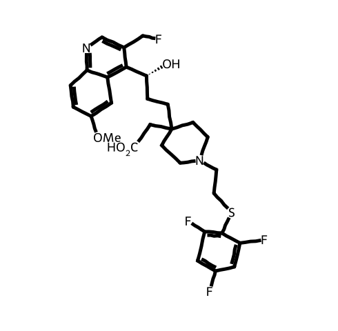 COc1ccc2ncc(CF)c([C@H](O)CCC3(CC(=O)O)CCN(CCSc4c(F)cc(F)cc4F)CC3)c2c1